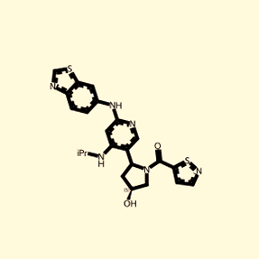 CC(C)Nc1cc(Nc2ccc3ncsc3c2)ncc1C1C[C@H](O)CN1C(=O)c1ccns1